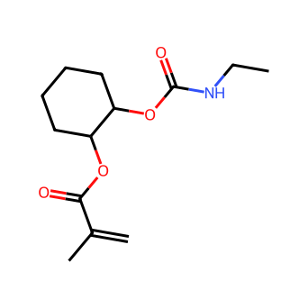 C=C(C)C(=O)OC1CCCCC1OC(=O)NCC